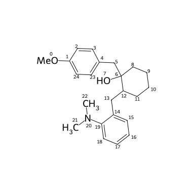 COc1ccc(CC2(O)CCCCC2Cc2ccccc2N(C)C)cc1